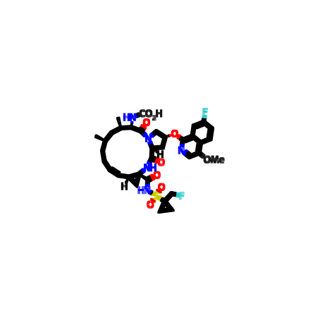 COc1cnc(O[C@@H]2C[C@H]3C(=O)N[C@]4(C(=O)NS(=O)(=O)C5(CF)CC5)C[C@H]4C=CCC[C@@H](C)C[C@@H](C)[C@H](NC(=O)O)C(=O)N3C2)c2cc(F)ccc12